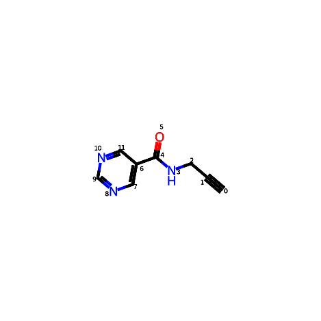 C#CCNC(=O)c1cncnc1